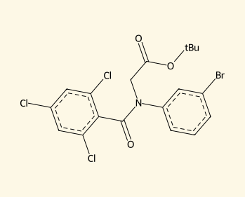 CC(C)(C)OC(=O)CN(C(=O)c1c(Cl)cc(Cl)cc1Cl)c1cccc(Br)c1